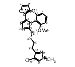 COc1cccc(OC)c1-n1c(NSCCc2nn(C)cc2Cl)nnc1-c1ccco1